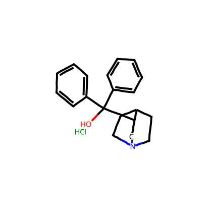 Cl.OC(c1ccccc1)(c1ccccc1)C1CN2CCC1CC2